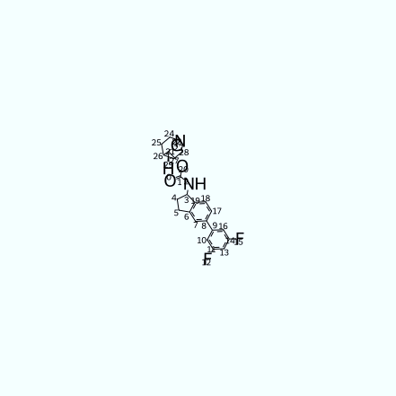 O=C(NC1CCc2cc(-c3cc(F)cc(F)c3)ccc21)O[C@H]1CN2CCC1CC2